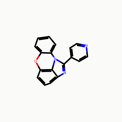 c1ccc2c(c1)Oc1cccc3nc(-c4ccncc4)n-2c13